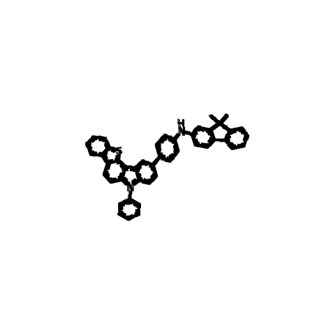 CC1(C)c2ccccc2-c2ccc(Nc3ccc(-c4ccc5c(c4)c4c6sc7ccccc7c6ccc4n5-c4ccccc4)cc3)cc21